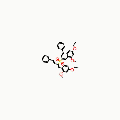 CCOc1ccc(C=C(C=Cc2ccccc2)S(=O)(=O)C(C=Cc2ccccc2)=Cc2ccc(OCC)cc2OC)c(OC)c1